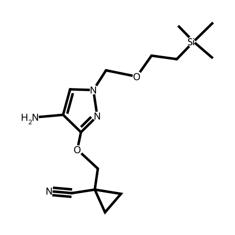 C[Si](C)(C)CCOCn1cc(N)c(OCC2(C#N)CC2)n1